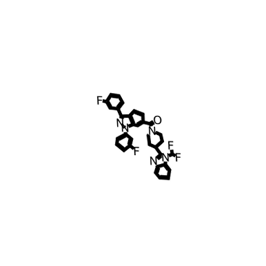 O=C(c1ccc2c(-c3cccc(F)c3)nn(-c3cccc(F)c3)c2c1)N1CCC(c2nc3ccccc3n2C(F)F)CC1